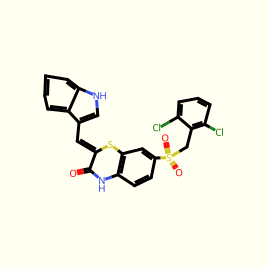 O=C1Nc2ccc(S(=O)(=O)Cc3c(Cl)cccc3Cl)cc2SC1=Cc1c[nH]c2ccccc12